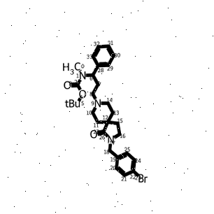 CN(C(=O)OC(C)(C)C)C(CCN1CCC2(CC1)CCN(Cc1ccc(Br)cc1)C2=O)c1ccccc1